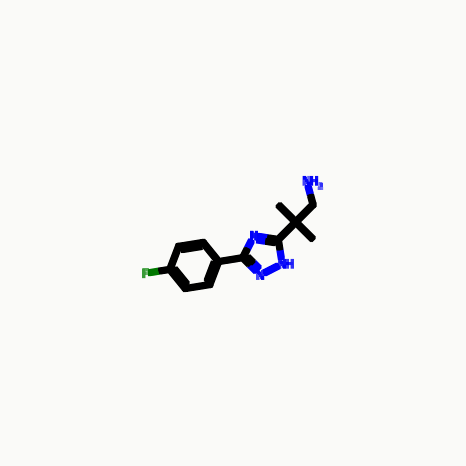 CC(C)(CN)c1nc(-c2ccc(F)cc2)n[nH]1